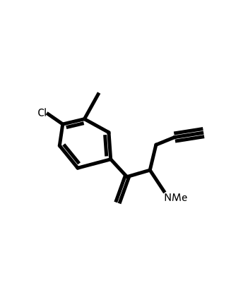 C#CCC(NC)C(=C)c1ccc(Cl)c(C)c1